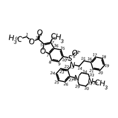 CCOC(=O)c1oc2ccc([S+]([O-])N(CCc3ccccc3)c3ccccc3N3CCN(C)CC3)cc2c1C